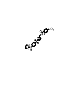 O=C(NCc1ccc(S(=O)(=O)N2CCC(Nc3ncccn3)CC2)s1)c1ccc([N+](=O)[O-])cc1